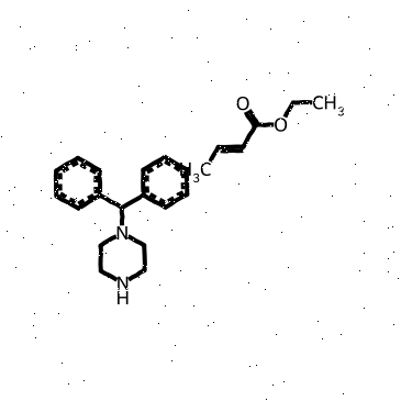 C/C=C/C(=O)OCC.c1ccc(C(c2ccccc2)N2CCNCC2)cc1